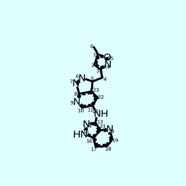 Cc1cc(CC2N=Nc3ncc(Nc4n[nH]c5cccnc45)cc32)no1